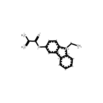 C=C(C)C(=O)Oc1ccc2c(c1)c1ccccc1n2CC